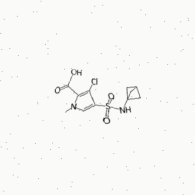 Cn1cc(S(=O)(=O)NC23CC(C2)C3)c(Cl)c1C(=O)O